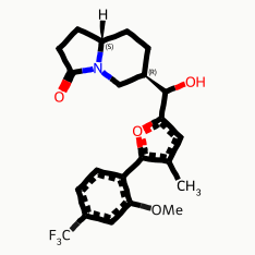 COc1cc(C(F)(F)F)ccc1-c1oc(C(O)[C@@H]2CC[C@H]3CCC(=O)N3C2)cc1C